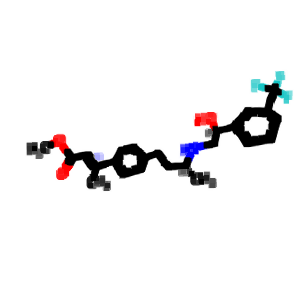 COC(=O)/C=C(\C)c1ccc(CC[C@@H](C)NC[C@@H](O)c2cccc(C(F)(F)F)c2)cc1